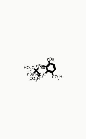 CCCCC(CCCC)(CC(=O)O)C(=O)O.CCCCc1ccc(C(=O)O)c(C(=O)O)c1CCCC